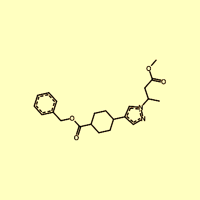 COC(=O)CC(C)n1cc(C2CCC(C(=O)OCc3ccccc3)CC2)cn1